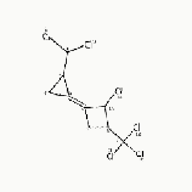 ClC(Cl)C1CC1=C1CC(C(Cl)(Cl)Cl)C1Cl